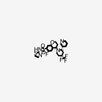 O=S(=O)(Nc1nccs1)c1cc2c(cc1F)[C@H](N1CC[C@@H](C(F)(F)F)C[C@H]1c1cccnc1)CCO2